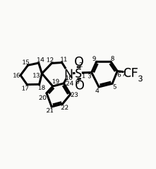 O=S(=O)(c1ccc(C(F)(F)F)cc1)N1CCC2(CCCCC2)c2ccccc21